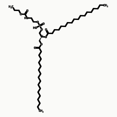 CCCCCCCCCCCCCCCCCC(=O)OC[C@H](COP(=O)(O)OCCNC(=O)OCCC)OC(=O)CCCCCCCCCCCCCCCCC